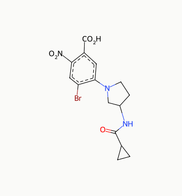 O=C(O)c1cc(N2CCC(NC(=O)C3CC3)C2)c(Br)cc1[N+](=O)[O-]